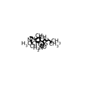 Cc1c(-c2cc(CC(C)C)sc2S(N)(=O)=O)ccc(-n2ccnc2C(C)(C)C)c1C